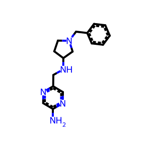 Nc1cnc(CNC2CCN(Cc3ccccc3)C2)cn1